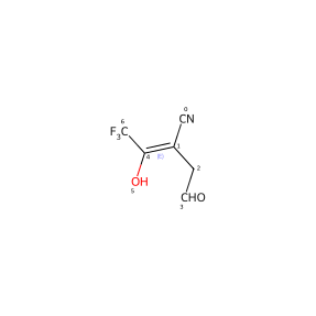 N#C/C(CC=O)=C(/O)C(F)(F)F